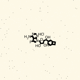 Cl.Nc1ncnc2c1c(F)cn2[C@@H]1O[C@H]([C@H](O)c2ccc3c(c2)CC3)[C@@H](O)[C@H]1O